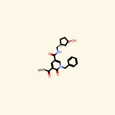 CNC(=O)c1cc(C(=O)NC[C@H]2CC[C@@H](O)C2)cn(Cc2ccccc2)c1=O